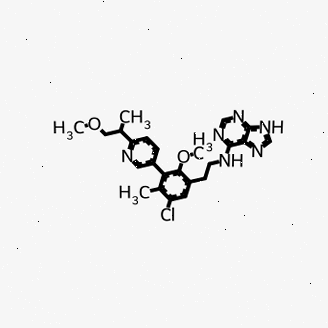 COCC(C)c1ccc(-c2c(C)c(Cl)cc(CCNc3ncnc4[nH]cnc34)c2OC)cn1